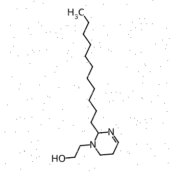 CCCCCCCCCCCC1N=CCCN1CCO